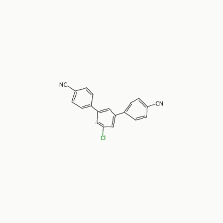 N#Cc1ccc(-c2[c]c(Cl)cc(-c3ccc(C#N)cc3)c2)cc1